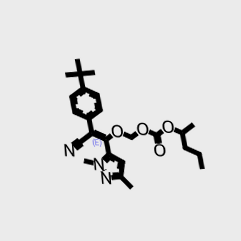 CCCC(C)OC(=O)OCO/C(=C(/C#N)c1ccc(C(C)(C)C)cc1)c1cc(C)nn1C